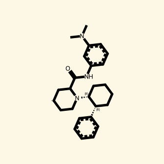 CN(C)c1cccc(NC(=O)C2C[CH]CCN2[C@@H]2CCCC[C@@H]2c2ccccc2)c1